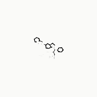 CNC[C@@H](O)[C@H](c1ccccc1)n1ccc2cc(OCc3ccccn3)ccc21.Cl